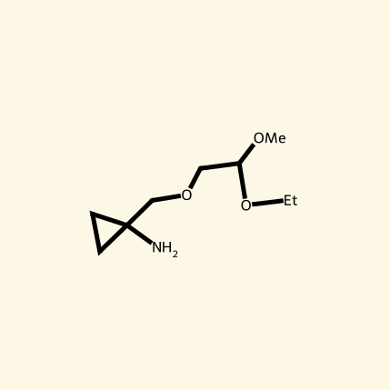 CCOC(COCC1(N)CC1)OC